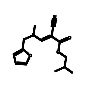 CC(C)COC(=O)/C(C#N)=C/N(C)Cc1ccco1